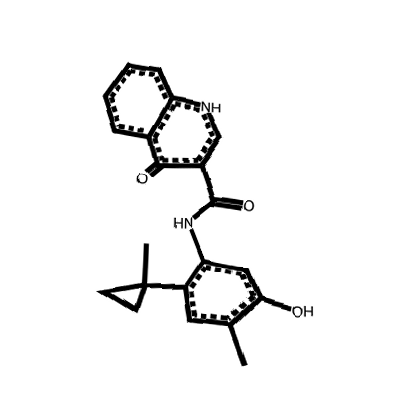 Cc1cc(C2(C)CC2)c(NC(=O)c2c[nH]c3ccccc3c2=O)cc1O